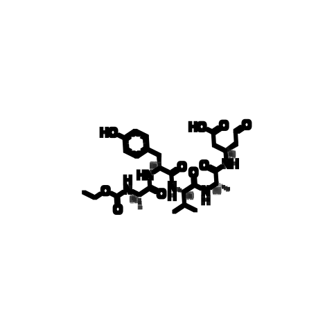 CCOC(=O)N[C@@H](C)C(=O)N[C@@H](Cc1ccc(O)cc1)C(=O)N[C@H](C(=O)N[C@@H](C)C(=O)N[C@H](CC=O)CC(=O)O)C(C)C